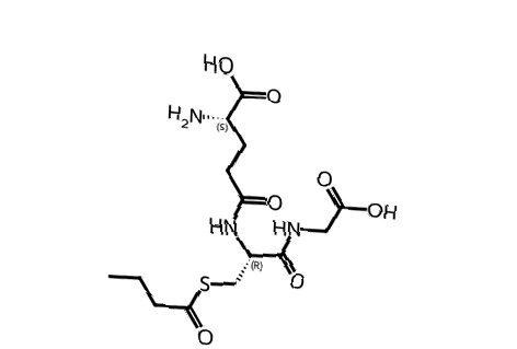 CCCC(=O)SC[C@H](NC(=O)CC[C@H](N)C(=O)O)C(=O)NCC(=O)O